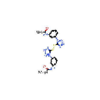 CNC(=O)Nc1cccc(-n2nnnc2SSc2nnnn2-c2cccc(NC(=O)NC)c2)c1